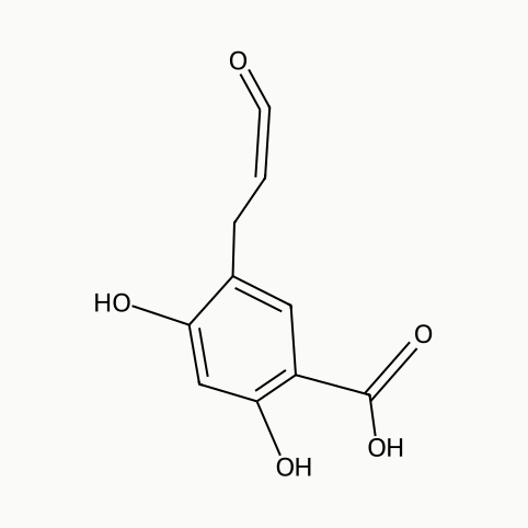 O=C=CCc1cc(C(=O)O)c(O)cc1O